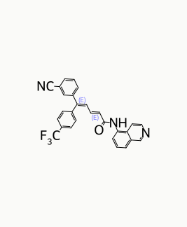 N#Cc1cccc(/C(=C/C=C/C(=O)Nc2cccc3cnccc23)c2ccc(C(F)(F)F)cc2)c1